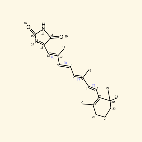 CC1=C(/C=C/C(C)=C/C=C/C(C)=C/C2=NC(=O)NC2=O)C(C)(C)CCC1